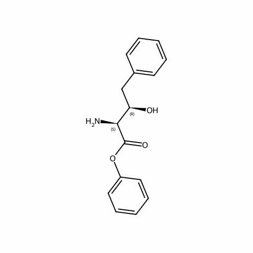 N[C@H](C(=O)Oc1ccccc1)[C@H](O)Cc1ccccc1